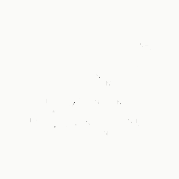 NC(=O)Cc1cnn(-c2nc(N)c3ncn([C@@H]4O[C@H](CO)[C@H](O)[C@H]4O)c3n2)c1